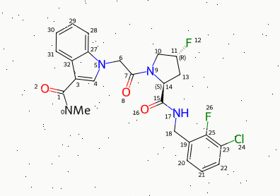 CNC(=O)c1cn(CC(=O)N2C[C@H](F)C[C@H]2C(=O)NCc2cccc(Cl)c2F)c2ccccc12